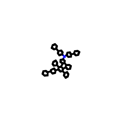 c1ccc(-c2ccc(-c3cc(-c4ccccc4)c4c5ccccc5c5cc(N(c6ccc(-c7ccccc7)cc6)c6ccc(-c7ccccc7)cc6)ccc5c4c3-c3ccccc3)cc2)cc1